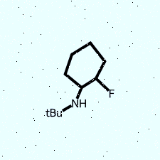 CC(C)(C)NC1CCCCC1F